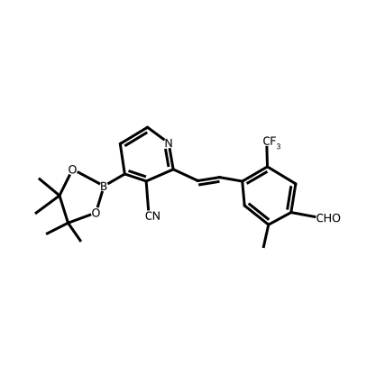 Cc1cc(/C=C/c2nccc(B3OC(C)(C)C(C)(C)O3)c2C#N)c(C(F)(F)F)cc1C=O